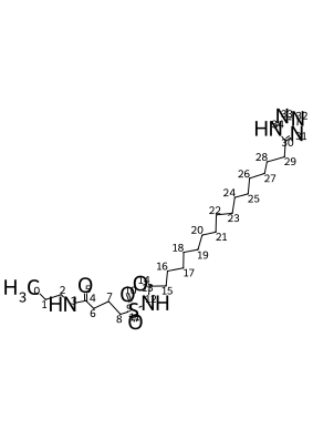 CCCNC(=O)CCCS(=O)(=O)NC(=O)CCCCCCCCCCCCCCCc1nnn[nH]1